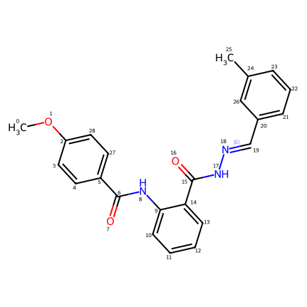 COc1ccc(C(=O)Nc2ccccc2C(=O)N/N=C/c2cccc(C)c2)cc1